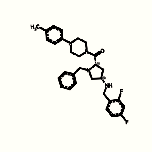 Cc1ccc(N2CCN(C(=O)[C@@H]3C[C@H](NCc4ccc(F)cc4F)CN3Cc3ccccc3)CC2)cc1